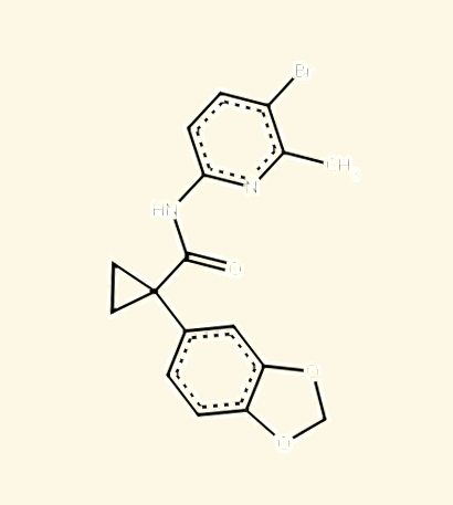 Cc1nc(NC(=O)C2(c3ccc4c(c3)OCO4)CC2)ccc1Br